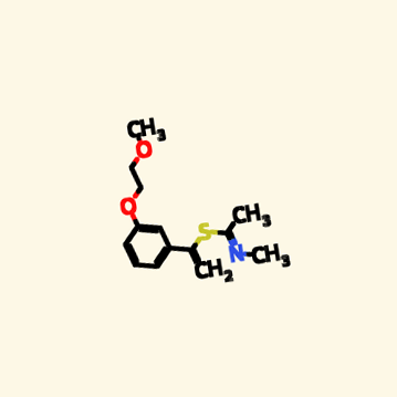 C=C(SC(C)=NC)c1cccc(OCCOC)c1